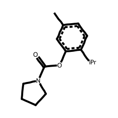 Cc1ccc(C(C)C)c(OC(=O)N2CCCC2)c1